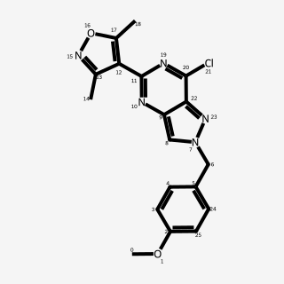 COc1ccc(Cn2cc3nc(-c4c(C)noc4C)nc(Cl)c3n2)cc1